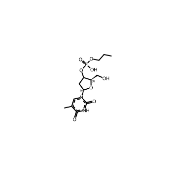 CCCOP(=O)(O)OC1C[C@H](n2cc(C)c(=O)[nH]c2=O)O[C@@H]1CO